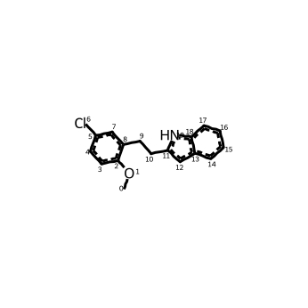 COc1ccc(Cl)cc1CCc1cc2ccccc2[nH]1